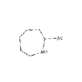 [CH2]C(=O)C1CCCCCN1